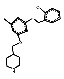 Cc1cc(OCc2ccccc2Cl)cc(OCC2CCNCC2)c1